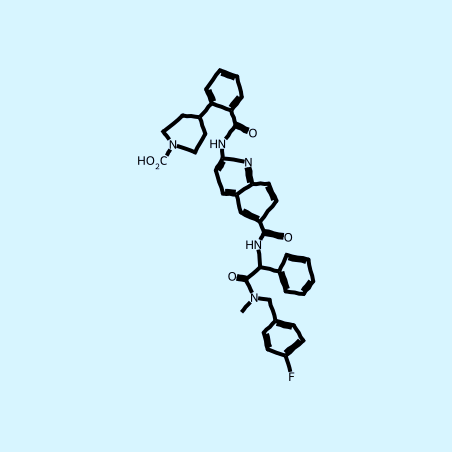 CN(Cc1ccc(F)cc1)C(=O)C(NC(=O)c1ccc2nc(NC(=O)c3ccccc3C3CCN(C(=O)O)CC3)ccc2c1)c1ccccc1